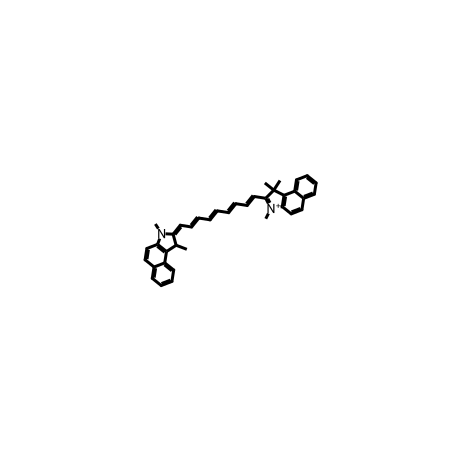 CC1\C(=C/C=C/C=C/C=C/C=C/C2=[N+](C)c3ccc4ccccc4c3C2(C)C)N(C)c2ccc3ccccc3c21